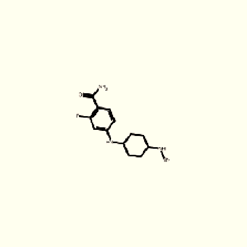 CC(C)NC1CCC(Nc2ccc(C(N)=O)c(F)c2)CC1